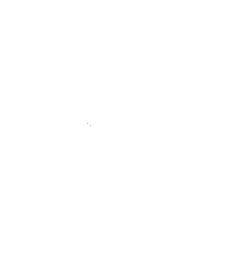 O=[N+]([O-])C1=Cc2ccccc21